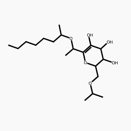 CCCCCCC(C)OC(C)C1=C(O)C(O)C(O)C(COC(C)C)O1